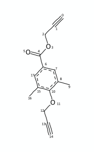 C#CCOC(=O)c1cc(C)c(OCC#C)c(C)c1